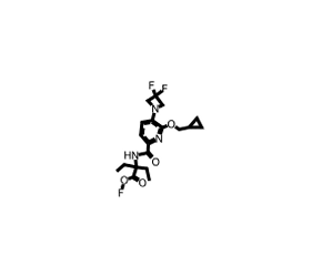 CCC(CC)(NC(=O)c1ccc(N2CC(F)(F)C2)c(OCC2CC2)n1)C(=O)OF